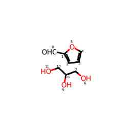 O=Cc1ccco1.OCC(O)CO